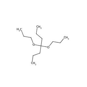 CCCOC(CCC)(CCC)OCCC